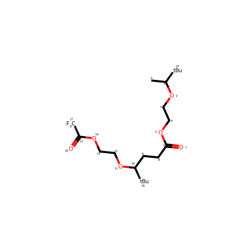 CC(OCCOC(=O)CCC(OCCOC(=O)C(F)(F)F)C(C)(C)C)C(C)(C)C